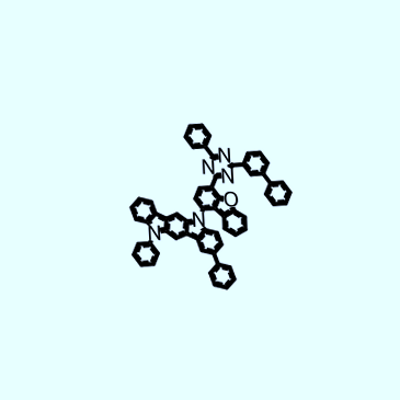 c1ccc(-c2cccc(-c3nc(-c4ccccc4)nc(-c4ccc(-n5c6ccc(-c7ccccc7)cc6c6cc7c(cc65)c5ccccc5n7-c5ccccc5)c5c4oc4ccccc45)n3)c2)cc1